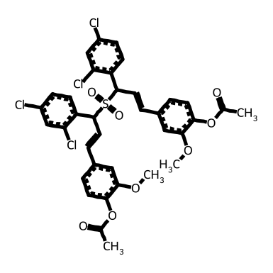 COc1cc(C=CC(c2ccc(Cl)cc2Cl)S(=O)(=O)C(C=Cc2ccc(OC(C)=O)c(OC)c2)c2ccc(Cl)cc2Cl)ccc1OC(C)=O